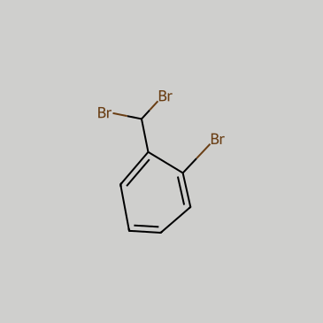 Brc1ccccc1C(Br)Br